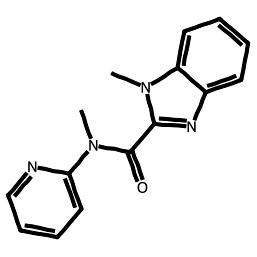 CN(C(=O)c1nc2ccccc2n1C)c1ccccn1